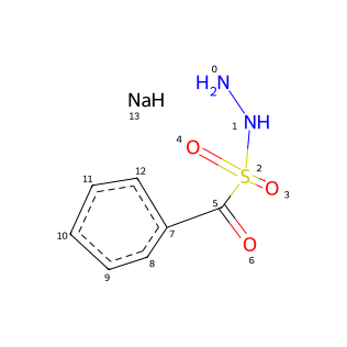 NNS(=O)(=O)C(=O)c1ccccc1.[NaH]